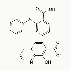 O=C(O)c1ccccc1Sc1ccccc1.O=[N+]([O-])c1ccc2cccnc2c1O